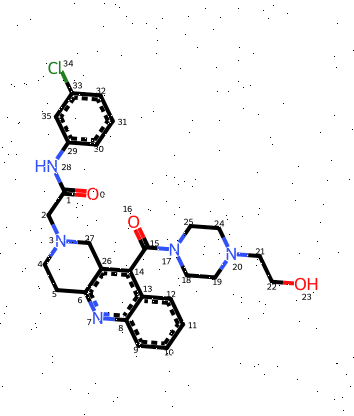 O=C(CN1CCc2nc3ccccc3c(C(=O)N3CCN(CCO)CC3)c2C1)Nc1cccc(Cl)c1